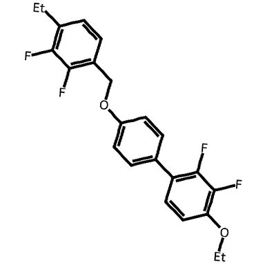 CCOc1ccc(-c2ccc(OCc3ccc(CC)c(F)c3F)cc2)c(F)c1F